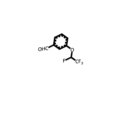 O=Cc1cccc(OC(F)C(F)(F)F)c1